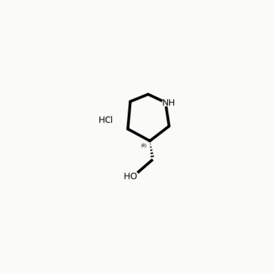 Cl.OC[C@@H]1CCCNC1